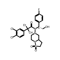 CCC(C)(C(=O)N([C@@H](CO)c1ccc(F)cc1)N1CCN2C(CCS2(=O)=O)C1)c1ccc(Cl)c(Cl)c1